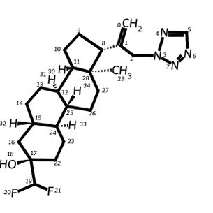 C=C(Cn1ncnn1)[C@H]1CC[C@H]2[C@@H]3CC[C@H]4C[C@@](O)(C(F)F)CC[C@@H]4[C@H]3CC[C@]12C